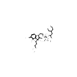 CNCC(CC1CCOCC1)NC(=O)N1CCCC(C(O)(CCCCOC)c2cccc(Cl)c2F)C1